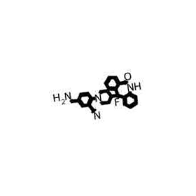 N#Cc1cc(CN)ccc1N1CCC(C2(F)c3ccccc3NC(=O)c3ccccc32)CC1